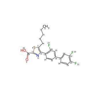 CCCCCc1sc(C(=O)O)nc1-c1ccc(-c2ccc(F)c(F)c2)cc1F